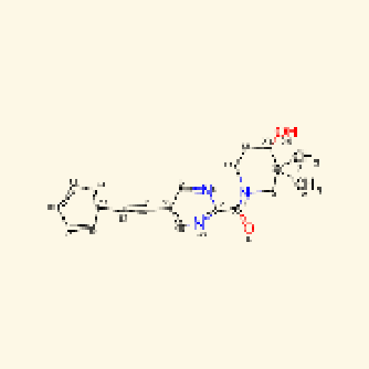 CC1(C)CN(C(=O)c2ncc(C#Cc3ccccc3)cn2)CCC1O